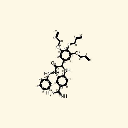 C=CCOc1cc(C(Nc2ccc(C(=N)N)cc2)C(=O)NNc2ccccc2)cc(OCC=C)c1OCC=C